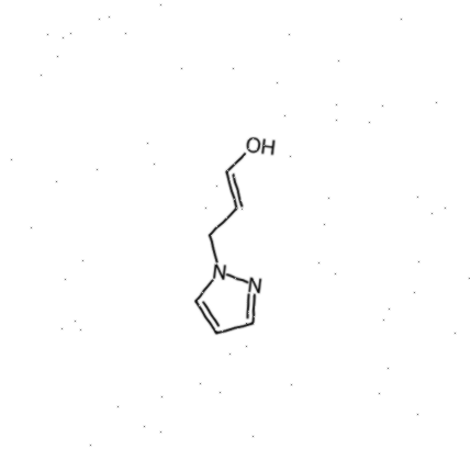 OC=CCn1cccn1